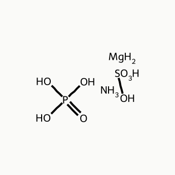 N.O=P(O)(O)O.O=S(=O)(O)O.[MgH2]